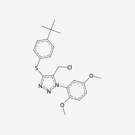 COc1ccc(OC)c(-n2nnc(Sc3ccc(C(C)(C)C)cc3)c2CCl)c1